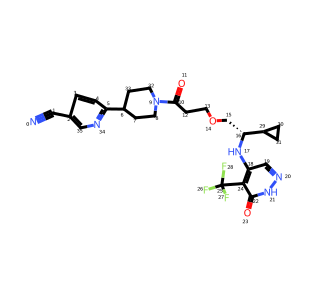 N#Cc1ccc(C2CCN(C(=O)CCOC[C@@H](Nc3cn[nH]c(=O)c3C(F)(F)F)C3CC3)CC2)nc1